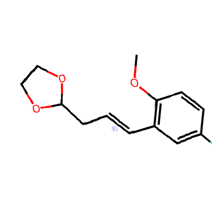 COc1ccc(F)cc1/C=C/CC1OCCO1